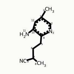 Cc1cnc(CCC(C)C#N)c(N)c1